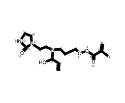 C=CC(O)N(CCCOOC(=O)C(=C)C)CCN1CCNC1=O